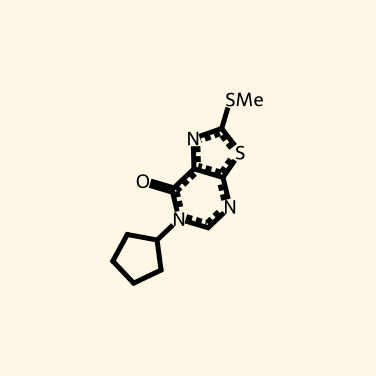 CSc1nc2c(=O)n(C3CCCC3)cnc2s1